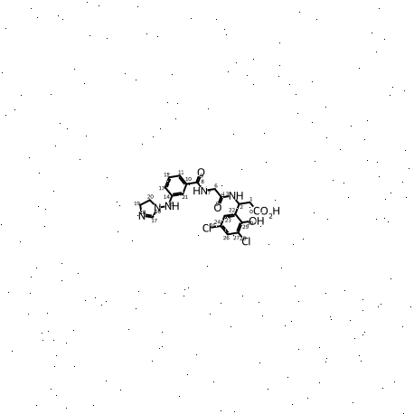 O=C(O)CC(NC(=O)CNC(=O)c1cccc(NN2C=NCC2)c1)c1cc(Cl)cc(Cl)c1O